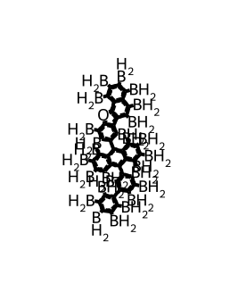 Bc1c(B)c(B)c(-c2c(B)c(B)c(B)c(-c3c4c(B)c(B)c(B)c(B)c4c(-c4c(B)c(B)c5oc6c7c(B)c(B)c(B)c(B)c7c(B)c(B)c6c5c4B)c4c(B)c(B)c(B)c(B)c34)c2B)c(B)c1B